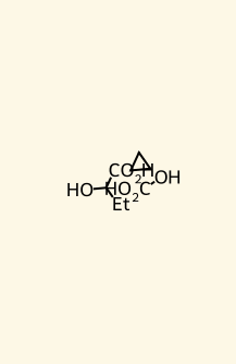 C1CC1.CCC(O)C(=O)O.O=C(O)O